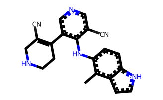 Cc1c(Nc2c(C#N)cncc2C2=C(C#N)CNCC2)ccc2[nH]ccc12